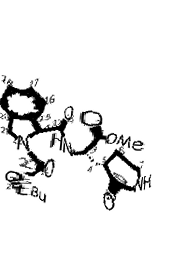 COC(=O)[C@H](C[C@@H]1CCNC1=O)NC(=O)C1c2ccccc2CN1C(=O)OC(C)(C)C